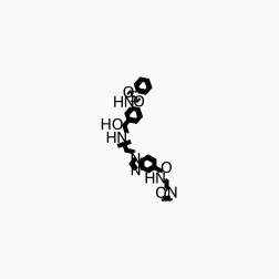 CC(C)(CCn1cnc2cc(C(=O)NCc3ncco3)ccc21)NC[C@H](O)c1cccc(NS(=O)(=O)c2ccccc2)c1